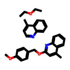 CCOCC.COc1ccc(COc2cc(C)c3ccccc3n2)cc1.Cc1ccnc2ccccc12